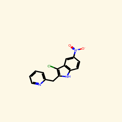 O=[N+]([O-])c1ccc2[nH]c(Cc3ccccn3)c(Cl)c2c1